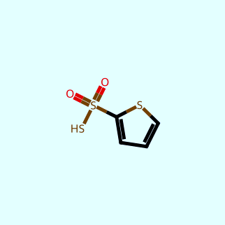 O=S(=O)(S)c1cccs1